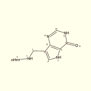 CCCCCCNCc1c[nH]c2c(=O)[nH]cnc12